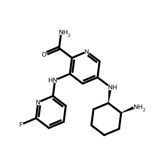 NC(=O)c1ncc(N[C@@H]2CCCC[C@@H]2N)cc1Nc1cccc(F)n1